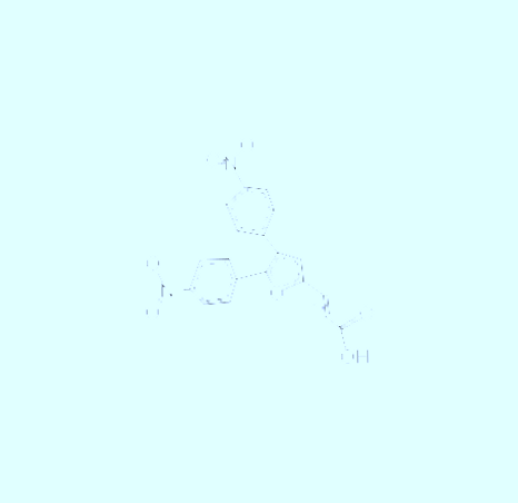 O=C(O)/C=C/c1cc(-c2ccc([N+](=O)[O-])cc2)c(-c2ccc([N+](=O)[O-])cc2)o1